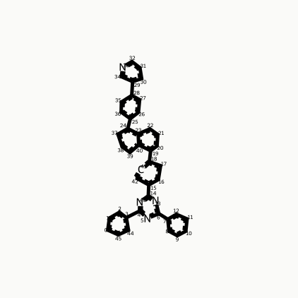 c1ccc(-c2nc(-c3ccccc3)nc(-c3ccc(-c4cccc5c(-c6ccc(-c7cccnc7)cc6)cccc45)cc3)n2)cc1